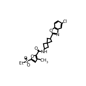 CCS(=O)(=O)c1cc(C)c(C(=O)NC2CC3(C2)CC(c2nc4cc(Cl)ccc4o2)C3)o1